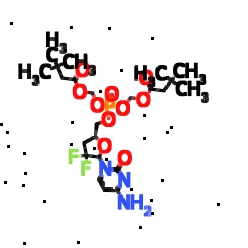 CC(C)(C)CC(=O)OCOP(=O)(OCOC(=O)CC(C)(C)C)OC[C@@H]1CC(F)(F)[C@H](n2ccc(N)nc2=O)O1